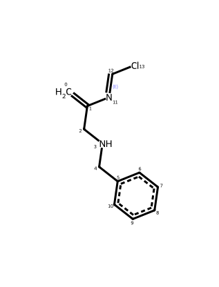 C=C(CNCc1ccccc1)/N=C/Cl